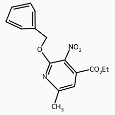 CCOC(=O)c1cc(C)nc(OCc2ccccc2)c1[N+](=O)[O-]